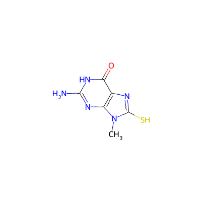 Cn1c(S)nc2c(=O)[nH]c(N)nc21